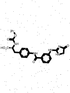 CC(C)OC(=O)N[C@@H](Cc1ccc(NC(=O)c2cccc(NC3=NC(=O)CN3)c2)cc1)C(=O)O